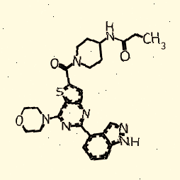 CCC(=O)NC1CCN(C(=O)c2cc3nc(-c4cccc5[nH]ncc45)nc(N4CCOCC4)c3s2)CC1